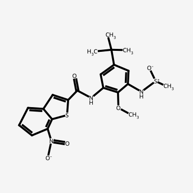 COc1c(NC(=O)c2cc3cccc([N+](=O)[O-])c3s2)cc(C(C)(C)C)cc1N[S+](C)[O-]